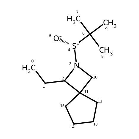 CCC1N([S@+]([O-])C(C)(C)C)CC12CCCC2